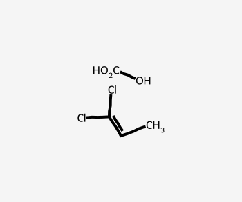 CC=C(Cl)Cl.O=C(O)O